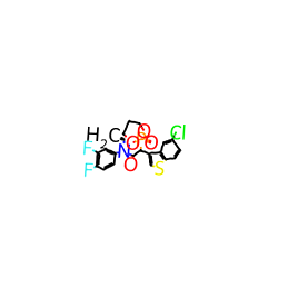 C=CN(C(=O)C(c1csc2ccc(Cl)cc12)P1(=O)OCCCO1)c1ccc(F)c(F)c1